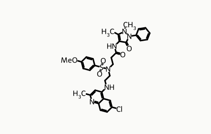 COc1ccc(S(=O)(=O)N(CCNc2cc(C)nc3ccc(Cl)cc23)CCC(=O)Nc2c(C)n(C)n(-c3ccccc3)c2=O)cc1